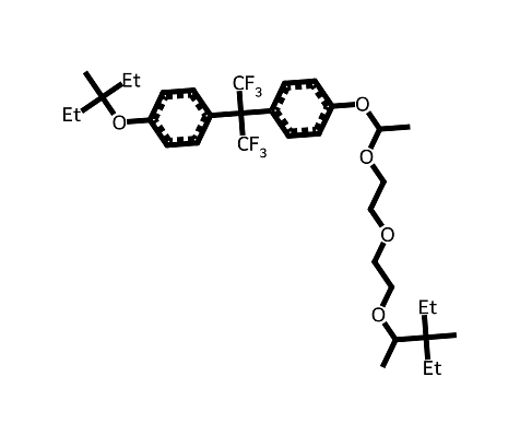 CCC(C)(CC)Oc1ccc(C(c2ccc(OC(C)OCCOCCOC(C)C(C)(CC)CC)cc2)(C(F)(F)F)C(F)(F)F)cc1